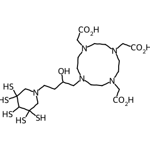 O=C(O)CN1CCN(CC(=O)O)CCN(CC(O)CCN2CC(S)(S)C(S)C(S)(S)C2)CCN(CC(=O)O)CC1